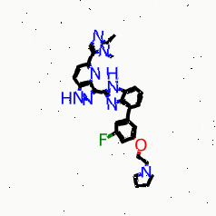 Cc1ncc(-c2ccc3[nH]nc(-c4nc5c(-c6cc(F)cc(OCCN7CCCC7)c6)cccc5[nH]4)c3n2)n1C